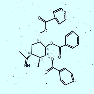 CC(=N)[C@H]1C[C@H](COC(=O)c2ccccc2)[C@@H](OC(=O)c2ccccc2)[C@H](OC(=O)c2ccccc2)[C@H]1C